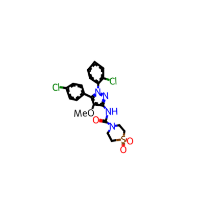 COc1c(NC(=O)N2CCS(=O)(=O)CC2)nn(-c2ccccc2Cl)c1-c1ccc(Cl)cc1